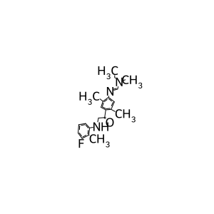 CCN(C)C=Nc1cc(C)c(C(=O)CNc2cccc(F)c2C)cc1C